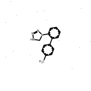 Cc1ccc(-c2ccccc2N2CNN=N2)cc1